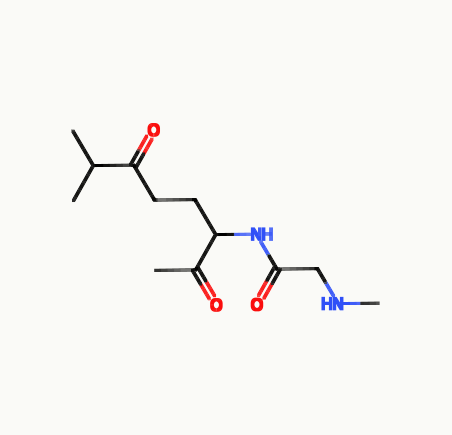 CNCC(=O)NC(CCC(=O)C(C)C)C(C)=O